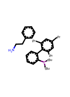 CC(C)c1cc(C(C)C)c(-c2ccccc2P(C(C)(C)C)C(C)(C)C)c(C(C)C)c1.NCCc1ccccc1